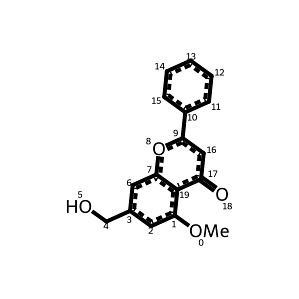 COc1cc(CO)cc2oc(-c3ccccc3)cc(=O)c12